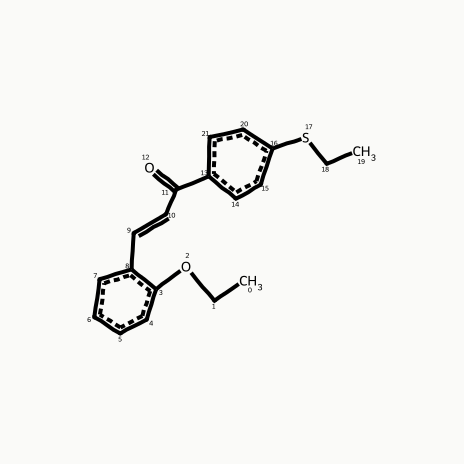 CCOc1ccccc1C=CC(=O)c1ccc(SCC)cc1